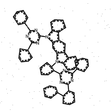 c1ccc(-c2nc(-c3ccccc3-c3ccccc3)nc(-c3ccccc3-n3c4ccccc4c4cc5c6ccccc6n(-c6nc(-c7ccccc7)nc(-c7ccccc7)n6)c5cc43)n2)cc1